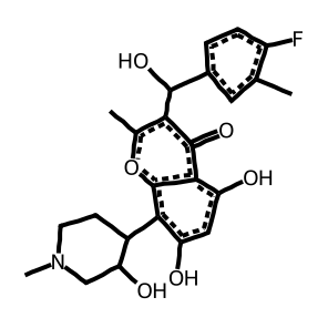 Cc1cc(C(O)c2c(C)oc3c(C4CCN(C)CC4O)c(O)cc(O)c3c2=O)ccc1F